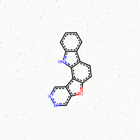 c1ccc2c(c1)[nH]c1c2ccc2oc3cnncc3c21